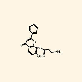 NCCC(=O)Oc1c(O)ccc2c(=O)cc(-c3ccccc3)oc12